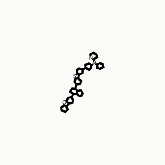 c1ccc(N(c2ccc(-c3ccc4sc5cc(-c6ccc(-c7ccc8c(c7)oc7ccccc78)c7ccccc67)ccc5c4c3)cc2)c2ccccn2)cc1